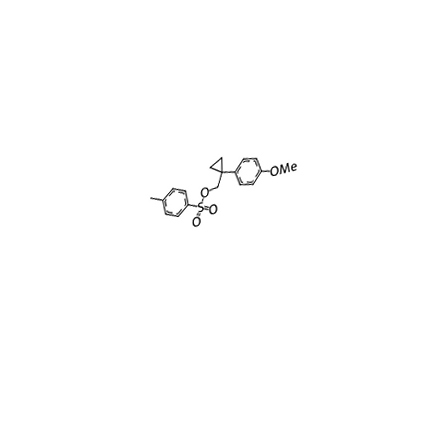 COc1ccc(C2(COS(=O)(=O)c3ccc(C)cc3)CC2)cc1